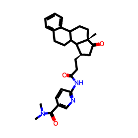 CN(C)C(=O)c1ccc(NC(=O)CC[C@@H]2CC(=O)[C@@]3(C)CCC4c5ccccc5CCC4C23)nc1